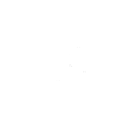 CCC(C)N1C(=O)C=C(C)C1=O